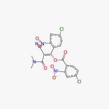 CN(C)C(=O)C(C#N)=C(OC(=O)c1ccc(Cl)cc1[N+](=O)[O-])c1ccc(Cl)cc1[N+](=O)[O-]